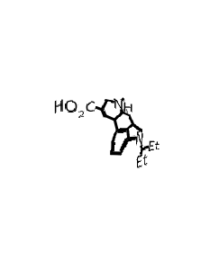 CCC(CC)n1cc2c3c(cccc31)C1CC(C(=O)O)CN(C)[C@@H]1C2